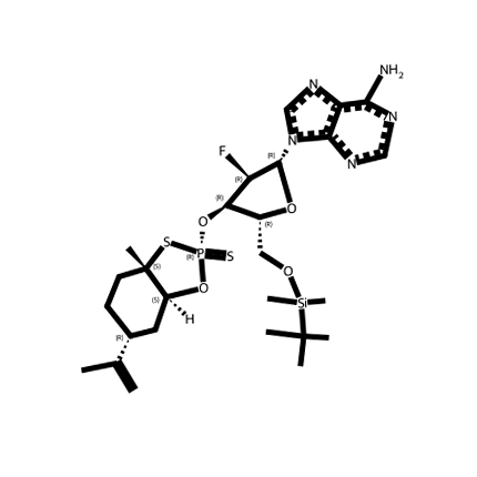 C=C(C)[C@@H]1CC[C@]2(C)S[P@](=S)(O[C@H]3[C@@H](F)[C@H](n4cnc5c(N)ncnc54)O[C@@H]3CO[Si](C)(C)C(C)(C)C)O[C@H]2C1